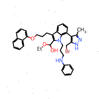 CCOC(O)c1c(CCCOc2cccc3ccccc23)c2cccc(-c3c(C)n[nH]c3CBr)c2n1CCCNc1ccccc1